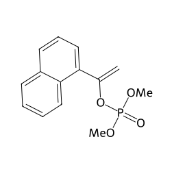 C=C(OP(=O)(OC)OC)c1cccc2ccccc12